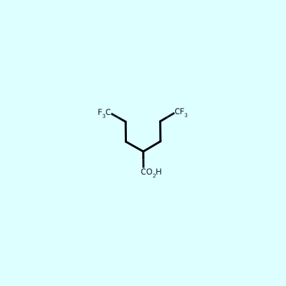 O=C(O)C(CCC(F)(F)F)CCC(F)(F)F